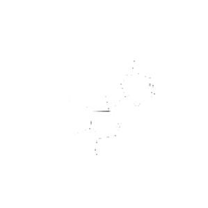 CCCCCCCCCCC1=C(C(=O)O)C(C)C(C(=O)O)(c2cccc(C)c2)C=C1